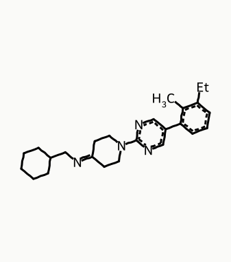 CCc1cccc(-c2cnc(N3CCC(=NCC4CCCCC4)CC3)nc2)c1C